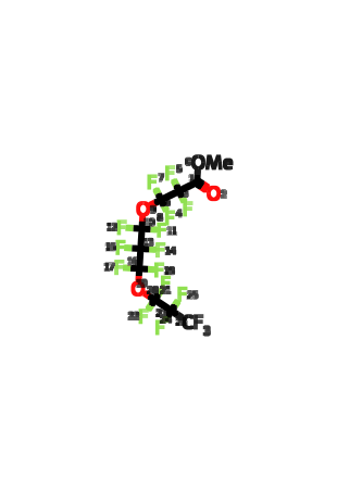 COC(=O)C(F)(F)C(F)(F)OC(F)(F)C(F)(F)C(F)(F)OC(F)(F)C(F)(F)C(F)(F)F